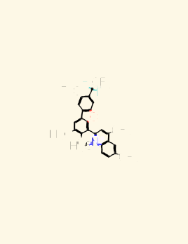 Cc1cc2c(oc3cc(C(F)(F)C(F)(F)F)c(C(F)(F)F)cc32)c(-c2cc(C(F)(F)F)c3cc(C(F)(F)F)ccc3[n+]2C)c1C